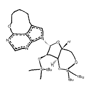 CC(C)(C)[Si](C)(C)O[C@@H]1[C@@H]2O[Si](C(C)(C)C)(C(C)(C)C)OC[C@H]2O[C@H]1n1cc2c3c(ncnc31)OCCC2